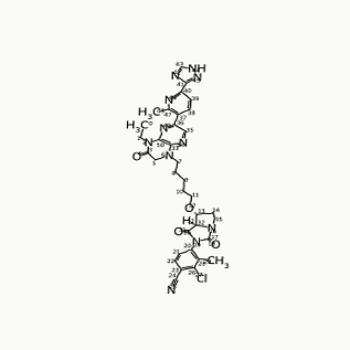 CCN1C(=O)CN(CCCCCO[C@@H]2CCN3C(=O)N(c4ccc(C#N)c(Cl)c4C)C(=O)[C@H]23)c2ncc(-c3ccc(-c4nc[nH]n4)nc3C)nc21